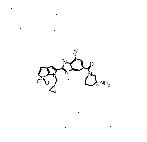 COc1cc(C(=O)N2CCC[C@@H](N)C2)cc2nc(-c3cc4c(n3CC3CC3)S(=O)(=O)C=C4)n(C)c12